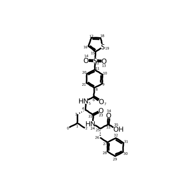 CC(C)C[C@H](NC(=O)c1ccc(S(=O)(=O)c2cccs2)cc1)C(=O)N[C@@H](Cc1ccccc1)C(=O)O